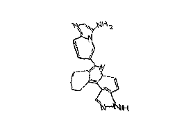 Nc1cnc2ccc(-c3nc4ccc5[nH]ncc5c4c4c3CCCC4)cn12